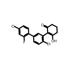 CCc1ccc(-c2ccc(Cl)cc2F)cc1C1=C(O)CCCC1=O